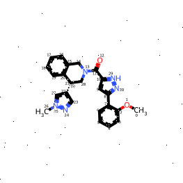 COc1ccccc1-c1cc(C(=O)N2Cc3ccccc3[C@@H](c3cnn(C)c3)C2)[nH]n1